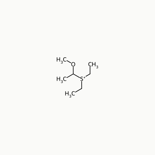 CC[S+](CC)C(C)OC